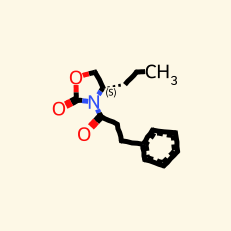 CCC[C@H]1COC(=O)N1C(=O)CCc1ccccc1